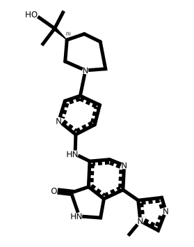 Cn1cncc1-c1ncc(Nc2ccc(N3CCC[C@H](C(C)(C)O)C3)cn2)c2c1CNC2=O